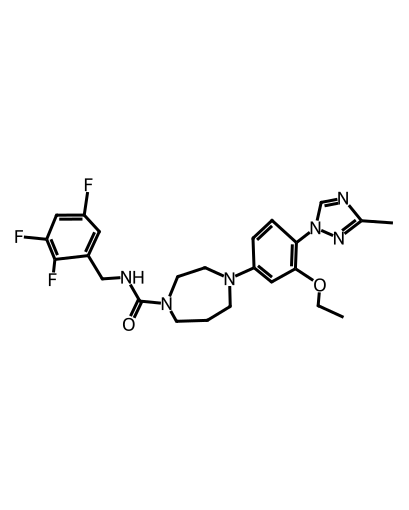 CCOc1cc(N2CCCN(C(=O)NCc3cc(F)cc(F)c3F)CC2)ccc1-n1cnc(C)n1